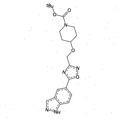 CC(C)(C)OC(=O)N1CCC(OCc2noc(-c3ccc4[nH]ncc4c3)n2)CC1